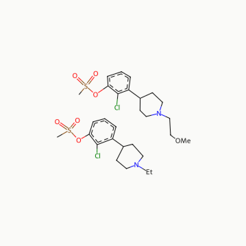 CCN1CCC(c2cccc(OS(C)(=O)=O)c2Cl)CC1.COCCN1CCC(c2cccc(OS(C)(=O)=O)c2Cl)CC1